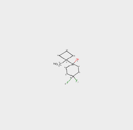 O=C(O)C1(C2(O)CCC(F)(F)CC2)CCC1